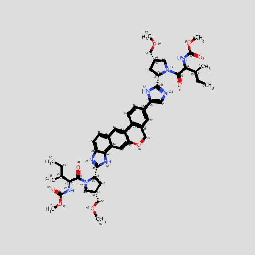 CC[C@H](C)C(NC(=O)OC)C(=O)N1C[C@@H](COC)C[C@H]1c1ncc(-c2ccc3c(c2)COc2cc4c(ccc5nc([C@@H]6C[C@H](COC)CN6C(=O)[C@@H](NC(=O)OC)[C@@H](C)CC)[nH]c54)cc2-3)[nH]1